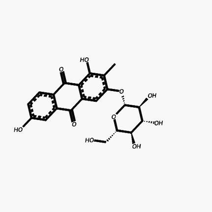 Cc1c(O[C@H]2O[C@@H](CO)[C@H](O)[C@@H](O)[C@@H]2O)cc2c(c1O)C(=O)c1ccc(O)cc1C2=O